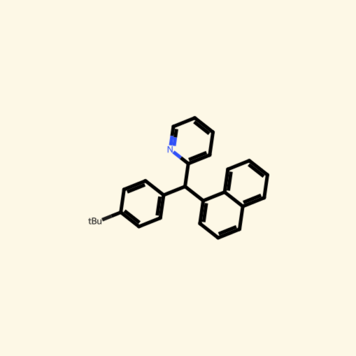 CC(C)(C)c1ccc(C(c2ccccn2)c2cccc3ccccc23)cc1